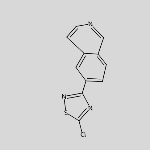 Clc1nc(-c2ccc3cnccc3c2)ns1